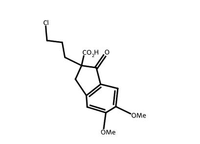 COc1cc2c(cc1OC)C(=O)C(CCCCl)(C(=O)O)C2